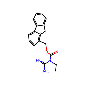 C[CH]N(C(=N)N)C(=O)OCc1cccc2c1Cc1ccccc1-2